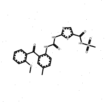 COc1ccccc1C(=O)c1cc(C)ccc1NC(=O)Nc1ncc(C(=O)NS(C)(=O)=O)s1